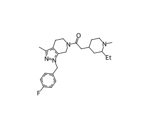 CCC1CC(CC(=O)N2CCc3c(C)nn(Cc4ccc(F)cc4)c3C2)CCN1C